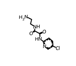 NCCNC(=O)C(=O)Nc1ccc(Cl)cn1